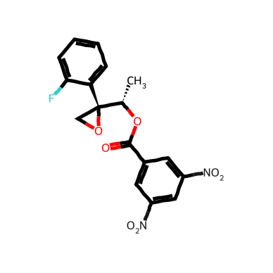 C[C@H](OC(=O)c1cc([N+](=O)[O-])cc([N+](=O)[O-])c1)[C@@]1(c2ccccc2F)CO1